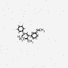 C=C(C)/C(=C\N(C)c1ccccc1)c1ccnc(SC)n1